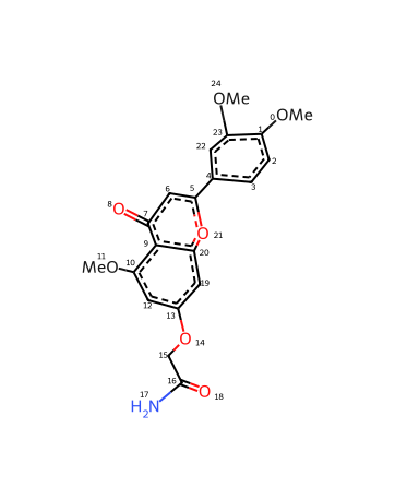 COc1ccc(-c2cc(=O)c3c(OC)cc(OCC(N)=O)cc3o2)cc1OC